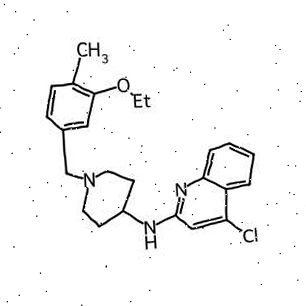 CCOc1cc(CN2CCC(Nc3cc(Cl)c4ccccc4n3)CC2)ccc1C